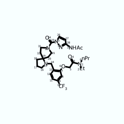 CCCN(CC)C(=O)COc1cc(C(F)(F)F)ccc1CN1CCCC12CCN(C(=O)n1ccc(NC(C)=O)n1)CC2